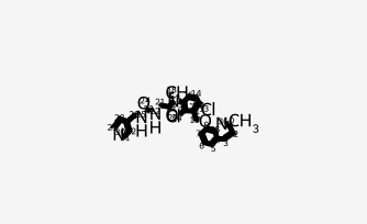 Cc1ccc2cccc(OCc3c(Cl)ccc(N(C)C(=O)CNC(=O)NCc4ccncc4)c3Cl)c2n1